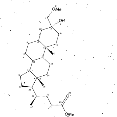 COC[C@@]1(O)CC[C@@]2(C)C(CCC3C2CC[C@@]2(C)C3CC[C@@H]2[C@H](C)CCC(=O)OC)C1